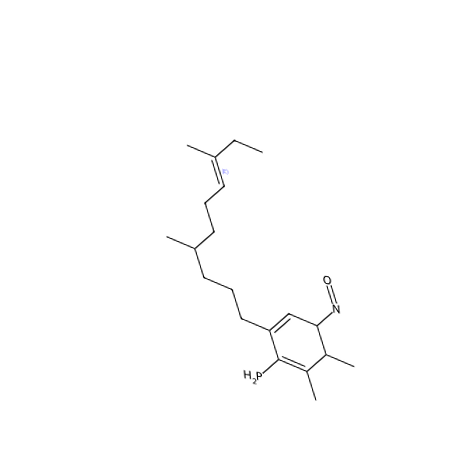 CC/C(C)=C/CCC(C)CCCC1=CC(N=O)C(C)C(C)=C1P